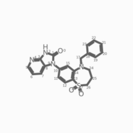 O=c1[nH]c2ncccc2n1-c1ccc2c(c1)N(Cc1ccccc1)CCCS2(=O)=O